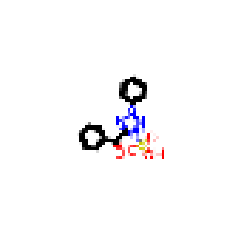 O=C(c1ccccc1)c1nn(-c2ccccc2)n[n+]1S(=O)(=O)O